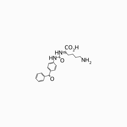 NCCCC[C@H](NC(=O)Nc1ccc(C(=O)c2ccccc2)cc1)C(=O)O